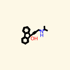 CC(C)NCC#CC1(O)c2ccccc2-c2ccccc21